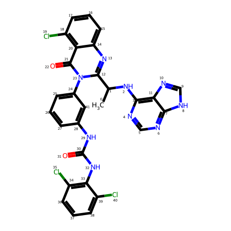 CC(Nc1ncnc2[nH]cnc12)c1nc2cccc(Cl)c2c(=O)n1-c1cccc(NC(=O)Nc2c(Cl)cccc2Cl)c1